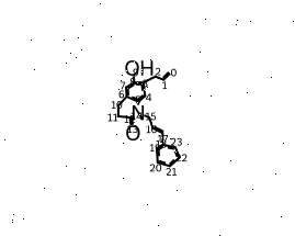 C=CCc1cc2c(cc1O)CCC(=O)N2CC=Cc1ccccc1